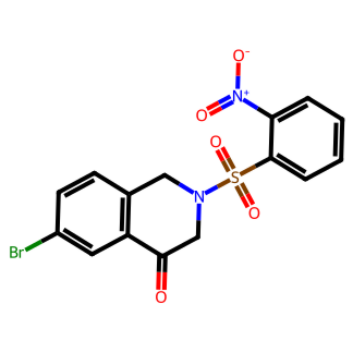 O=C1CN(S(=O)(=O)c2ccccc2[N+](=O)[O-])Cc2ccc(Br)cc21